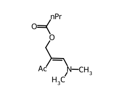 CCCC(=O)OCC(=CN(C)C)C(C)=O